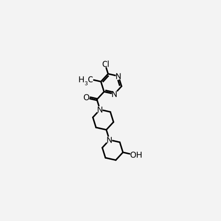 Cc1c(Cl)ncnc1C(=O)N1CCC(N2CCCC(O)C2)CC1